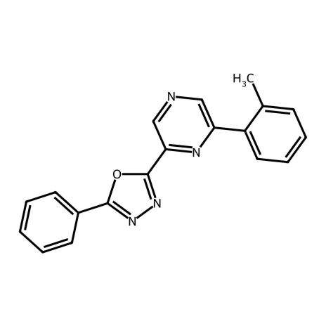 Cc1ccccc1-c1cncc(-c2nnc(-c3ccccc3)o2)n1